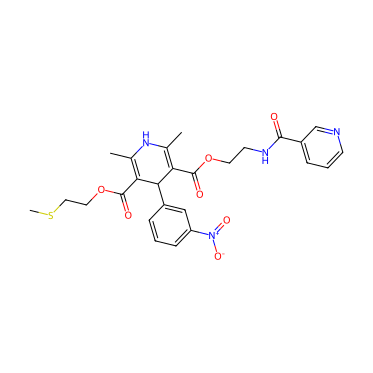 CSCCOC(=O)C1=C(C)NC(C)=C(C(=O)OCCNC(=O)c2cccnc2)C1c1cccc([N+](=O)[O-])c1